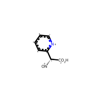 O=N[C@@H](C(=O)O)c1ccccn1